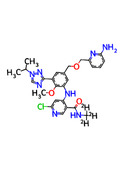 [2H]C([2H])([2H])NC(=O)c1cnc(Cl)cc1Nc1cc(COCc2cccc(N)n2)cc(-c2ncn(C(C)C)n2)c1OC